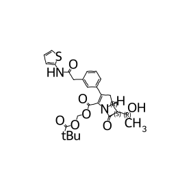 C[C@@H](O)[C@H]1C(=O)N2C(C(=O)OCOC(=O)C(C)(C)C)=C(c3cccc(CC(=O)Nc4cccs4)c3)C[C@H]12